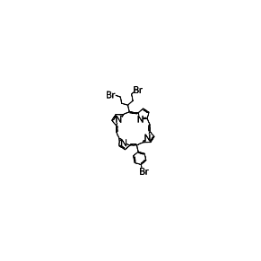 BrCCC(CCBr)C1=C2C=CC(=N2)C=C2C=CC(=N2)C(c2ccc(Br)cc2)=C2C=CC(=N2)C=C2C=CC1=N2